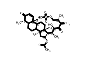 C=C(C(=O)[C@H](O)[C@@H](C)[C@H]1[C@@H](OC(C)=O)C[C@@]2(C)C3CCC4[C@H](C)C(=O)C=C[C@@]45C[C@@]35CC[C@]12C)[C@@H](C)COS(=O)(=O)O